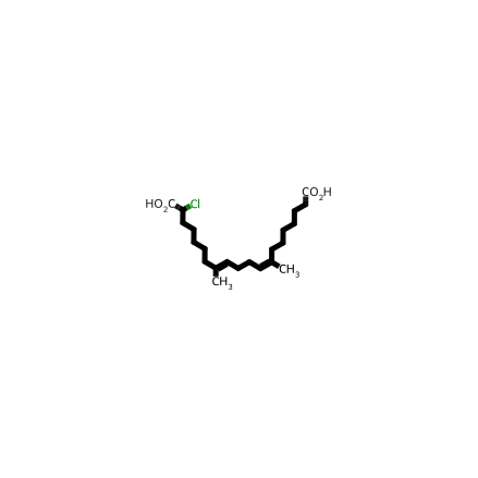 CC(=CCCC=C(C)CCCCCC(Cl)C(=O)O)CCCCCCC(=O)O